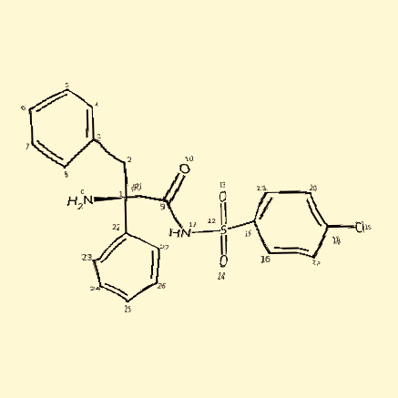 N[C@@](Cc1ccccc1)(C(=O)NS(=O)(=O)c1ccc(Cl)cc1)c1ccccc1